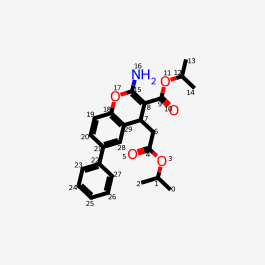 CC(C)OC(=O)CC1C(C(=O)OC(C)C)=C(N)Oc2ccc(-c3ccccc3)cc21